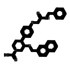 O=C(COc1ccc(C2CCN(C(=O)O)CC2OCc2ccc3ccccc3c2)cc1)NCc1ccccc1